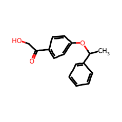 CC(Oc1ccc(C(=O)CO)cc1)c1ccccc1